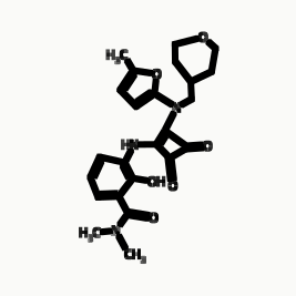 Cc1ccc(N(CC2CCOCC2)c2c(Nc3cccc(C(=O)N(C)C)c3O)c(=O)c2=O)o1